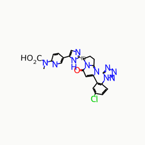 CN(C(=O)O)c1ccc(-c2cnc([C@@H]3CCc4nc(-c5cc(Cl)ccc5-n5cnnn5)cc(=O)n43)[nH]2)cn1